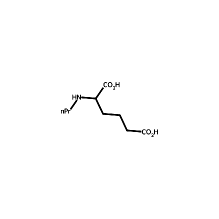 CCCNC(CCCC(=O)O)C(=O)O